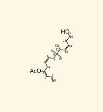 C=C/C=C(\C/C=C\CC(C)(C)C(C)/C=C\CCO)OC(C)=O